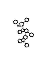 C1=C(c2ccccc2)C=C(n2c3ccccc3c3c(-c4ccc5c(c4)c4ccccc4n5-c4ccccc4)c(-c4ccccc4)ccc32)NC1c1ccccc1